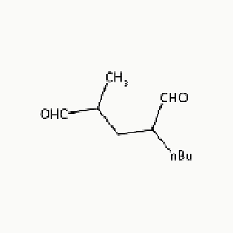 CCCCC(C=O)CC(C)C=O